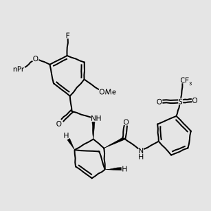 CCCOc1cc(C(=O)N[C@H]2[C@@H](C(=O)Nc3cccc(S(=O)(=O)C(F)(F)F)c3)[C@@H]3C=C[C@H]2C3)c(OC)cc1F